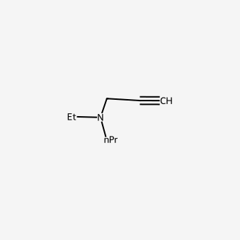 C#CCN(CC)CCC